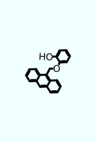 Oc1ccccc1OCc1c2ccccc2cc2ccccc12